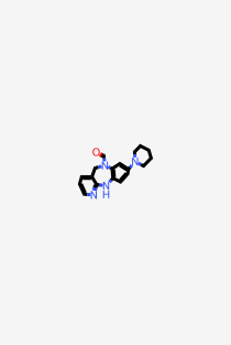 O=CN1Cc2cccnc2Nc2ccc(N3CCCCC3)cc21